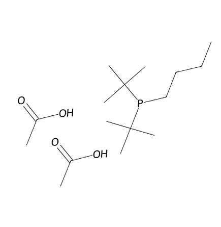 CC(=O)O.CC(=O)O.CCCCP(C(C)(C)C)C(C)(C)C